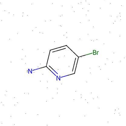 [N]c1ccc(Br)cn1